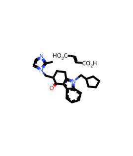 Cc1nccn1CC1CCc2c(c3ccccc3n2CC2CCCC2)C1=O.O=C(O)C=CC(=O)O